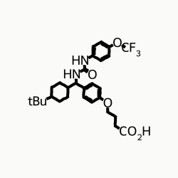 CC(C)(C)C1CCC(C(NC(=O)Nc2ccc(OC(F)(F)F)cc2)c2ccc(OCCCC(=O)O)cc2)CC1